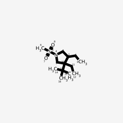 CCC1CN(S(C)(=O)=O)CC1(CC)C(C)(C)C